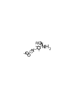 CCOC(=O)C1CCN(CCc2c(C)cc(/C(N)=N\O)cc2C)CC1